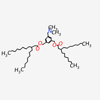 CCCCCCCCC(CCCCCCC)CC(=O)OCc1cc(COC(=O)CC(CCCCCCCC)CCCCCCCC)cc(CN(C)C)c1